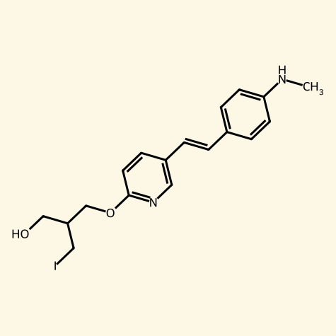 CNc1ccc(/C=C/c2ccc(OCC(CO)CI)nc2)cc1